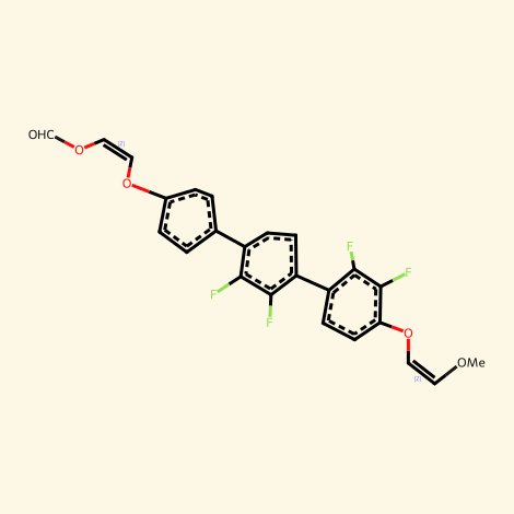 CO/C=C\Oc1ccc(-c2ccc(-c3ccc(O/C=C\OC=O)cc3)c(F)c2F)c(F)c1F